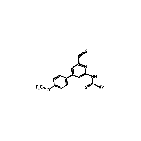 CCCC(=S)Nc1cc(-c2ccc(OC(F)(F)F)cc2)cc(C=S)n1